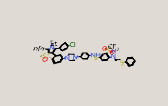 CCCc1c([S+](C)[O-])c(-c2cccc(N3CCN(c4ccc(NSc5ccc(NCCSc6ccccc6)c(S(=O)(=O)C(F)(F)F)c5)cc4)CC3)c2)c(-c2ccc(Cl)cc2)n1CC